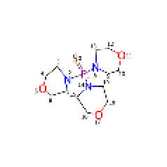 S=P(N1CCOCC1)(N1CCOCC1)N1CCOCC1